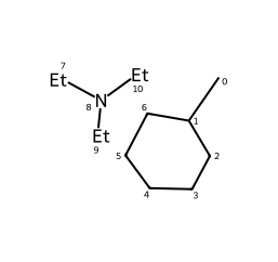 CC1CCCCC1.CCN(CC)CC